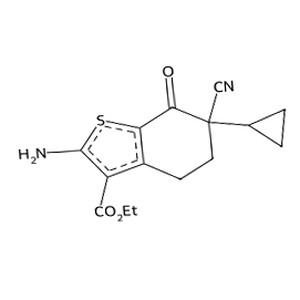 CCOC(=O)c1c(N)sc2c1CCC(C#N)(C1CC1)C2=O